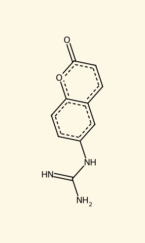 N=C(N)Nc1ccc2oc(=O)ccc2c1